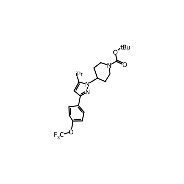 CC(C)c1cc(-c2ccc(OC(F)(F)F)cc2)nn1C1CCN(C(=O)OC(C)(C)C)CC1